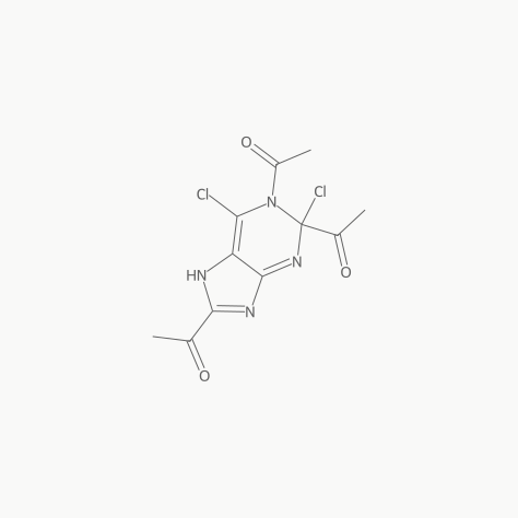 CC(=O)c1nc2c([nH]1)=C(Cl)N(C(C)=O)C(Cl)(C(C)=O)N=2